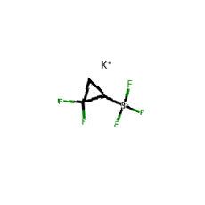 F[B-](F)(F)C1CC1(F)F.[K+]